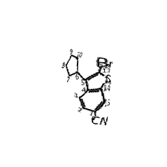 N#Cc1ccc2c(C3CCCC3)c(Br)sc2c1